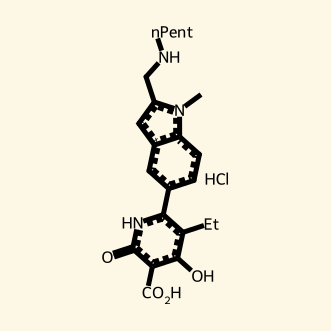 CCCCCNCc1cc2cc(-c3[nH]c(=O)c(C(=O)O)c(O)c3CC)ccc2n1C.Cl